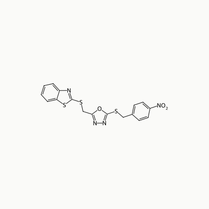 O=[N+]([O-])c1ccc(CSc2nnc(CSc3nc4ccccc4s3)o2)cc1